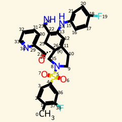 Cc1ccc(S(=O)(=O)N2CCC3=CC(Nc4ccc(F)cc4)=C(C=N)C[C@]3(C(=O)c3ccccn3)C2)cc1F